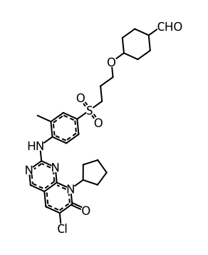 Cc1cc(S(=O)(=O)CCCOC2CCC(C=O)CC2)ccc1Nc1ncc2cc(Cl)c(=O)n(C3CCCC3)c2n1